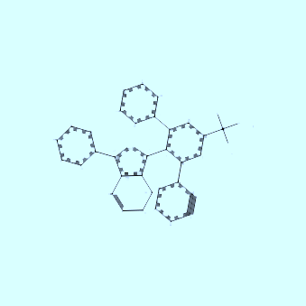 CC(C)(C)c1cc(-c2c#cccc2)c(-c2sc(-c3ccccc3)c3c2CCC=C3)c(-c2ccccc2)c1